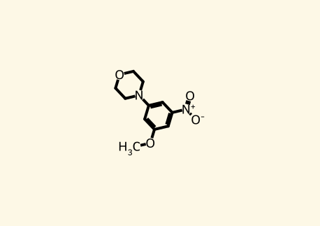 COc1cc(N2CCOCC2)cc([N+](=O)[O-])c1